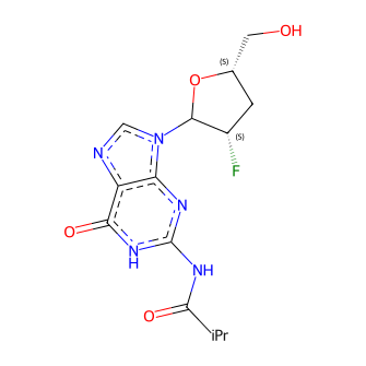 CC(C)C(=O)Nc1nc2c(ncn2C2O[C@H](CO)C[C@@H]2F)c(=O)[nH]1